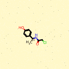 C[C@H](NC(=O)CCl)c1ccc(O)cc1